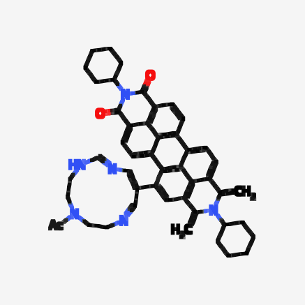 C=c1c2ccc3c4ccc5c(=O)n(C6CCCCC6)c(=O)c6ccc(c7c(C8=C/N=C/NCCN(C(C)=O)CC/N=C\8)cc(c(=C)n1C1CCCCC1)c2c37)c4c56